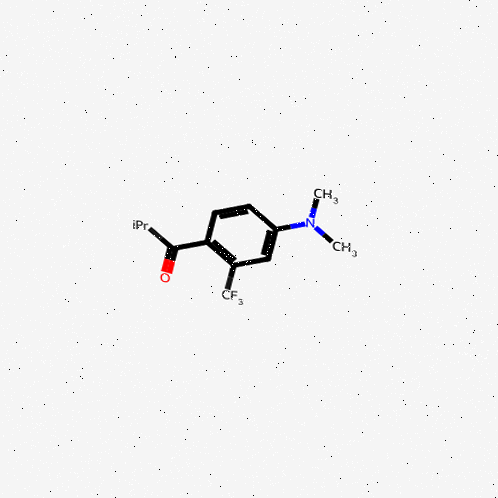 CC(C)C(=O)c1ccc(N(C)C)cc1C(F)(F)F